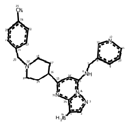 Bc1cnn2c(NCc3cccnc3)cc(C3CCN(Cc4ccc(C#N)cc4)CC3)nc12